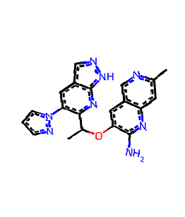 Cc1cc2nc(N)c(OC(C)c3nc4[nH]ncc4cc3-n3cccn3)cc2cn1